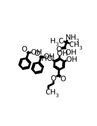 CC(C)(N)C(=O)O.CCCOC(=O)c1cc(O)c(O)c(O)c1.O=C(O)c1ccccc1.O=C(O)c1ccccc1